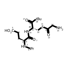 CC(C)N[C@@H](CCC(=O)O)C(=O)N[C@@H](CSC(=O)CN)C(=O)C(C)(C)C